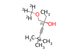 [2H]C([2H])([2H])OC[C@@](O)(C#C[Si](C)(C)C)CC